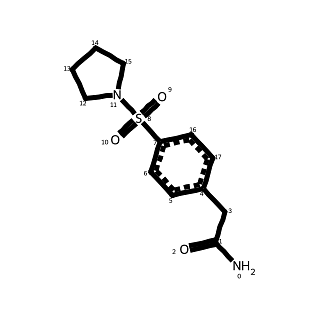 NC(=O)Cc1ccc(S(=O)(=O)N2CCCC2)cc1